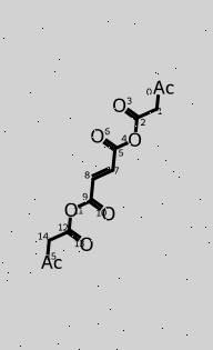 CC(=O)CC(=O)OC(=O)/C=C/C(=O)OC(=O)CC(C)=O